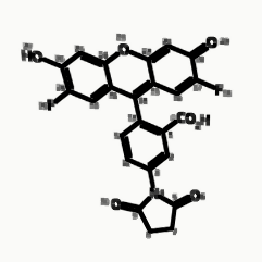 O=C(O)c1cc(N2C(=O)CCC2=O)ccc1-c1c2cc(F)c(=O)cc-2oc2cc(O)c(F)cc12